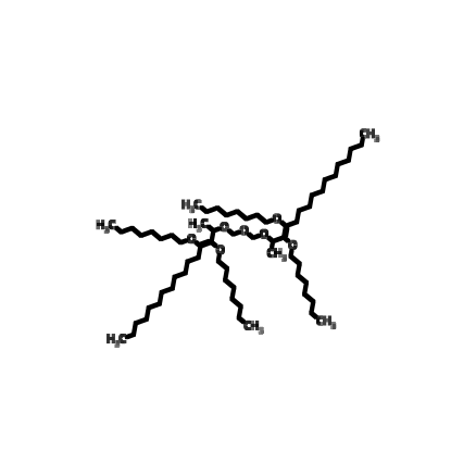 CCCCCCCCCCCCC(OCCCCCCCC)=C(OCCCCCCCC)C(C)OCOCOC(C)C(OCCCCCCCC)=C(CCCCCCCCCCCC)OCCCCCCCC